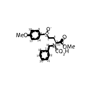 COC(=O)[C@H](CC[S+]([O-])c1ccc(OC)cc1)N(Cc1ccccc1)C(=O)O